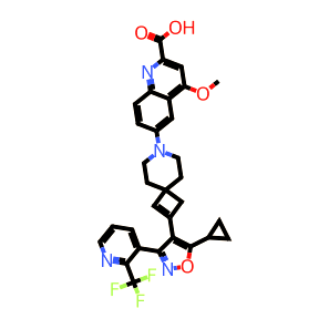 COc1cc(C(=O)O)nc2ccc(N3CCC4(C=C(c5c(-c6cccnc6C(F)(F)F)noc5C5CC5)C4)CC3)cc12